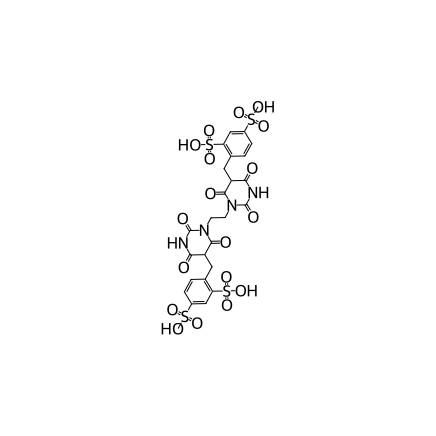 O=C1NC(=O)N(CCN2C(=O)NC(=O)C(Cc3ccc(S(=O)(=O)O)cc3S(=O)(=O)O)C2=O)C(=O)C1Cc1ccc(S(=O)(=O)O)cc1S(=O)(=O)O